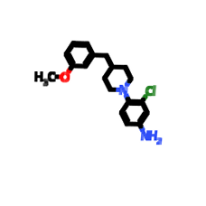 COc1cccc(CC2CCN(c3ccc(N)cc3Cl)CC2)c1